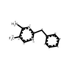 Nc1nc(Cc2ccccc2)ncc1C(F)(F)F